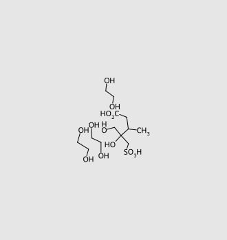 CC(CC(=O)O)C(O)(CO)CS(=O)(=O)O.OCCO.OCCO.OCCO